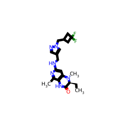 CC[C@H]1C(=O)Nc2c(cc(NCc3cnn(CC4CC(F)(F)C4)c3)nc2C)N1C